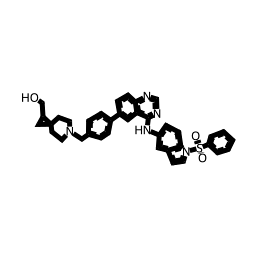 O=S(=O)(c1ccccc1)n1ccc2cc(Nc3ncnc4ccc(-c5ccc(CN6CCC7(CC6)CC7CO)cc5)cc34)ccc21